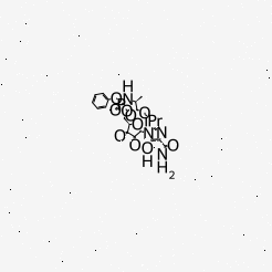 CC(C)OC(=O)[C@H](C)NP(=O)(OC[C@H]1O[C@@H](n2cnc(C(N)=O)c2O)C(=O)C1=O)Oc1ccccc1